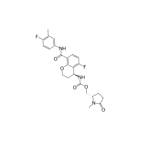 Cc1cc(NC(=O)c2ccc(F)c3c2OCC[C@@H]3NC(=O)OC[C@@H]2CCC(=O)N2C)ccc1F